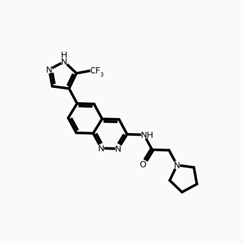 O=C(CN1CCCC1)Nc1cc2cc(-c3cn[nH]c3C(F)(F)F)ccc2nn1